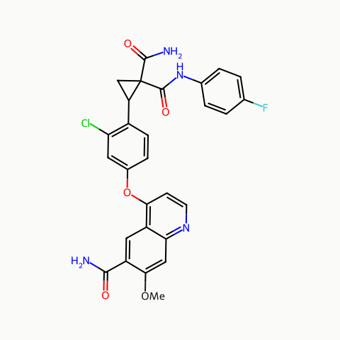 COc1cc2nccc(Oc3ccc(C4CC4(C(N)=O)C(=O)Nc4ccc(F)cc4)c(Cl)c3)c2cc1C(N)=O